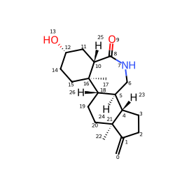 C=C1CC[C@H]2[C@@H]3CNC(=O)[C@H]4C[C@@H](O)CC[C@]4(C)[C@H]3CC[C@]12C